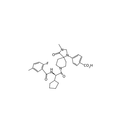 Cc1ccc(F)c(C(=O)N[C@@H](C(=O)N2CCC3(CC2)C(=O)N(C)CN3c2ccc(C(=O)O)cc2)C2CCCC2)c1